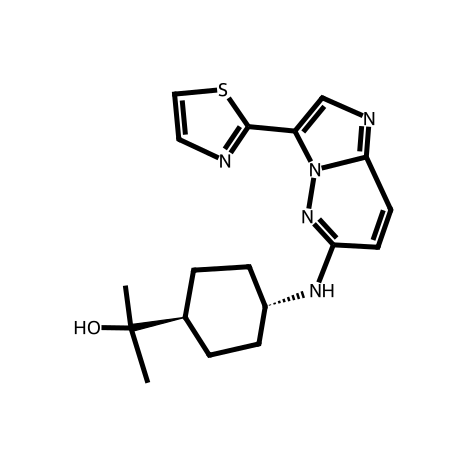 CC(C)(O)[C@H]1CC[C@H](Nc2ccc3ncc(-c4nccs4)n3n2)CC1